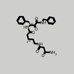 C[C@@H](CCNC(=O)CC(N)=O)CC(=O)N[C@@H](Cc1ccccc1)C(=O)C(=O)NCc1ccccc1